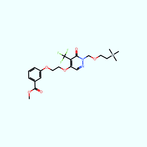 COC(=O)c1cccc(OCCOc2cnn(COCC[Si](C)(C)C)c(=O)c2C(F)(F)F)c1